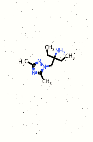 CCC(N)(CC)Cn1nc(C)nc1C